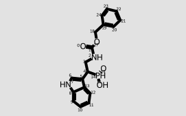 O=C(NCC(c1c[nH]c2ccccc12)[PH](=O)O)OCc1ccccc1